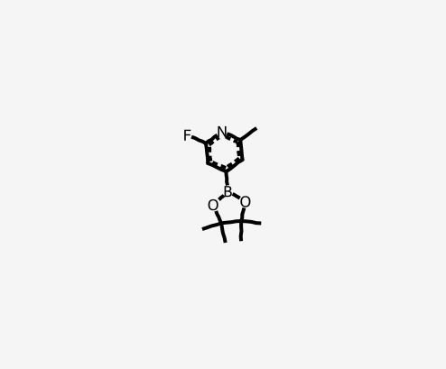 Cc1cc(B2OC(C)(C)C(C)(C)O2)cc(F)n1